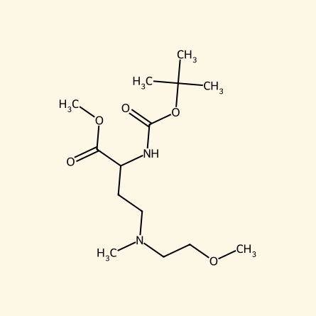 COCCN(C)CCC(NC(=O)OC(C)(C)C)C(=O)OC